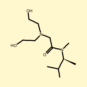 CC(C)[C@H](C)N(C)C(=O)CN(CCO)CCO